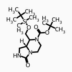 CC(C)(C)OC(=O)N1CCN2C(=O)NC[C@@H]2C1CO[Si](C)(C)C(C)(C)C